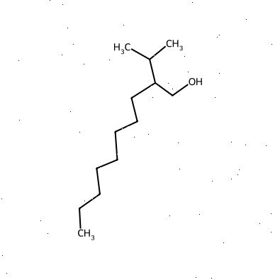 CCCCCCCCC(CO)C(C)C